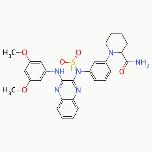 COc1cc(Nc2nc3ccccc3nc2N(c2cccc(N3CCCCC3C(N)=O)c2)[SH](=O)=O)cc(OC)c1